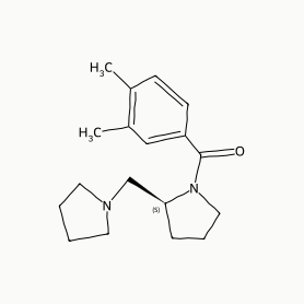 Cc1ccc(C(=O)N2CCC[C@H]2CN2CCCC2)cc1C